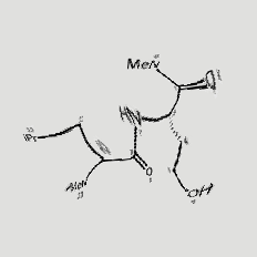 CNC(=O)[C@H](CCO)NC(=O)C(CC(C)C)NC